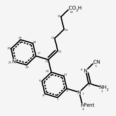 CCCCCN(C(N)=NC#N)c1cccc(C(=CCCCC(=O)O)c2cccnc2)c1